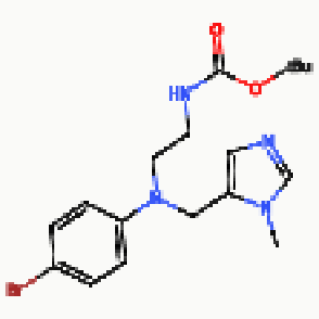 Cn1cncc1CN(CCNC(=O)OC(C)(C)C)c1ccc(Br)cc1